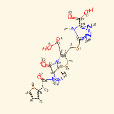 Cn1c(SCC2=C(C(=O)O)N3C(=O)C(NC(=O)Cc4cccs4)[C@@H]3SC2)nnc1C(=O)O